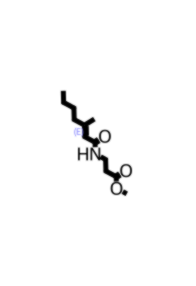 CCCC/C(C)=C/C(=O)NCCC(=O)OC